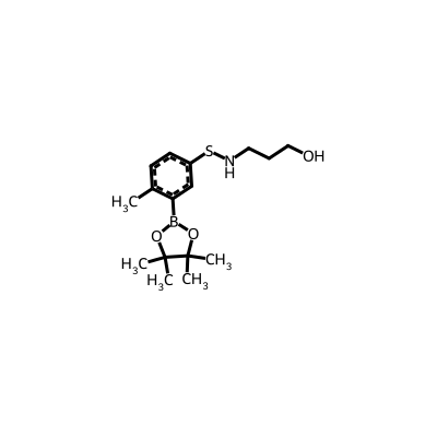 Cc1ccc(SNCCCO)cc1B1OC(C)(C)C(C)(C)O1